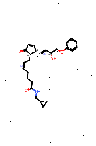 O=C(CCC/C=C\C[C@H]1C(=O)C=C[C@@H]1/C=C/[C@@H](O)COc1ccccc1)NCC1CC1